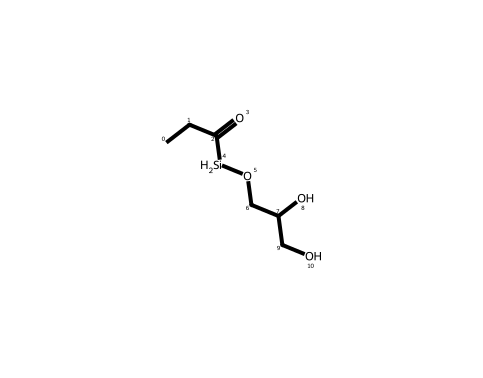 CCC(=O)[SiH2]OCC(O)CO